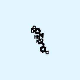 Clc1cccc(Cc2cnc(NC3(c4ccc5c(c4)OCO5)CC3)o2)c1